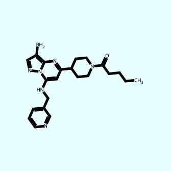 Bc1cnn2c(NCc3cccnc3)cc(C3CCN(C(=O)CCCC)CC3)nc12